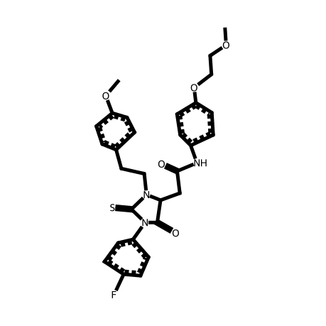 COCCOc1ccc(NC(=O)CC2C(=O)N(c3ccc(F)cc3)C(=S)N2CCc2ccc(OC)cc2)cc1